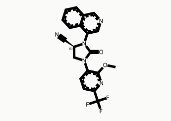 COc1nc(C(F)(F)F)ccc1N1C[C@@H](C#N)N(c2cncc3ccccc23)C1=O